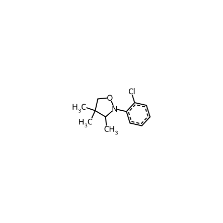 CC1N(c2ccccc2Cl)OCC1(C)C